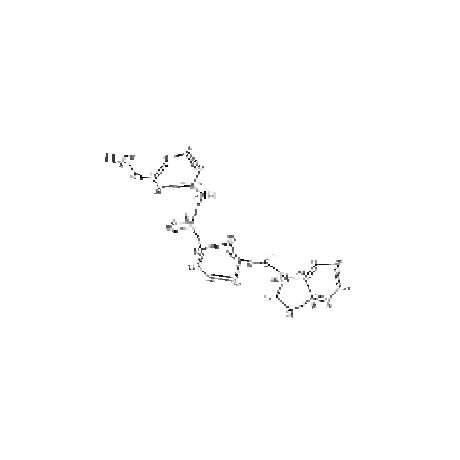 COc1cccc(NC(=O)c2cccc(SN3CCc4ccccc43)c2)c1